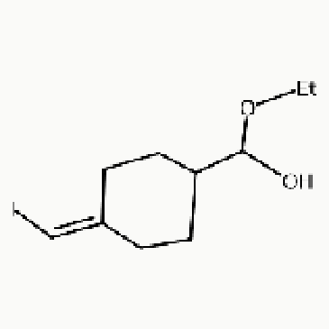 CCOC(O)C1CCC(=CI)CC1